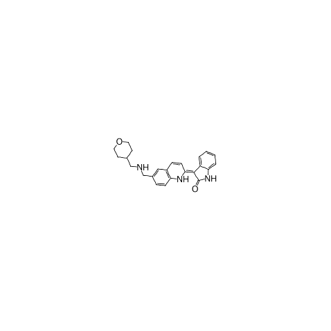 O=C1Nc2ccccc2/C1=C1\C=Cc2cc(CNCC3CCOCC3)ccc2N1